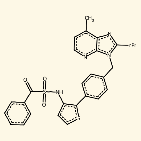 CCCc1nc2c(C)ccnc2n1Cc1ccc(-c2sccc2NS(=O)(=O)C(=O)c2ccccc2)cc1